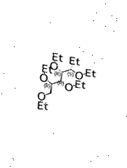 CCOC[C@@H](OCC)[C@@H](OCC)[C@H](OCC)[C@H](CC)OCC